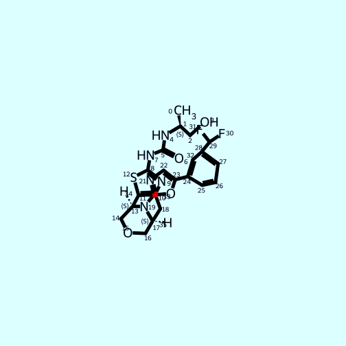 C[C@@H](CO)NC(=O)Nc1nc2c(s1)[C@@H]1COC[C@H](C2)N1c1ncc(-c2cccc(C(F)F)c2)o1